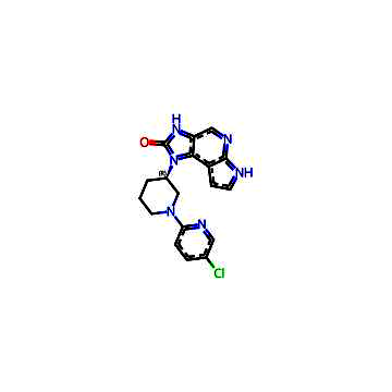 O=c1[nH]c2cnc3[nH]ccc3c2n1[C@@H]1CCCN(c2ccc(Cl)cn2)C1